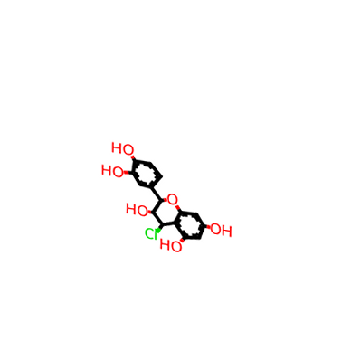 Oc1cc(O)c2c(c1)OC(c1ccc(O)c(O)c1)C(O)C2Cl